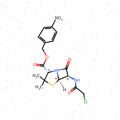 CC1(C)S[C@@H]2[C@H](NC(=O)CCl)C(=O)N2[C@H]1C(=O)OCc1ccc([N+](=O)[O-])cc1